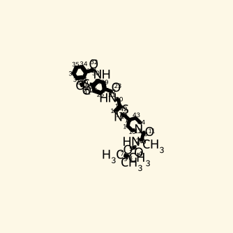 C[C@H](NC(=O)OC(C)(C)C)C(=O)N1CCC(c2ncc(CNC(=O)c3ccc4c(c3)NC(=O)c3ccccc3S4(=O)=O)s2)CC1